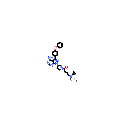 CN(CC=CC(=O)N1CC[C@@H](n2nc(-c3ccc(Oc4ccccc4)cc3)c3c(N)ncnc32)C1)C1CC1